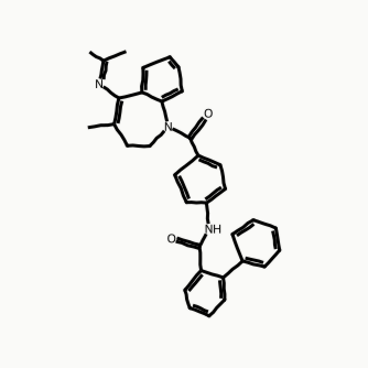 CC(C)=NC1=C(C)CCN(C(=O)c2ccc(NC(=O)c3ccccc3-c3ccccc3)cc2)c2ccccc21